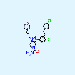 NC(=O)N1CCc2c(c(-c3ccc(Cl)c(CCc4ccc(Cl)cc4)c3)nn2CCCN2CCOCC2)C1